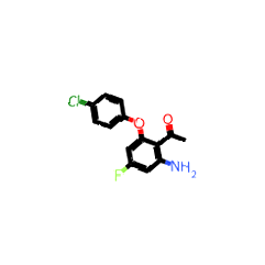 CC(=O)c1c(N)cc(F)cc1Oc1ccc(Cl)cc1